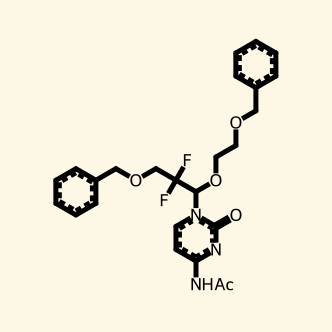 CC(=O)Nc1ccn(C(OCCOCc2ccccc2)C(F)(F)COCc2ccccc2)c(=O)n1